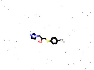 OC(CSc1ccc(C(F)(F)F)cc1)Cn1ccnc1